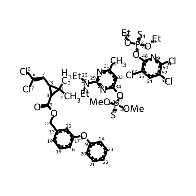 CC1(C)C(C=C(Cl)Cl)C1C(=O)OCc1cccc(Oc2ccccc2)c1.CCN(CC)c1nc(C)cc(OP(=S)(OC)OC)n1.CCOP(=S)(OCC)Oc1nc(Cl)c(Cl)cc1Cl